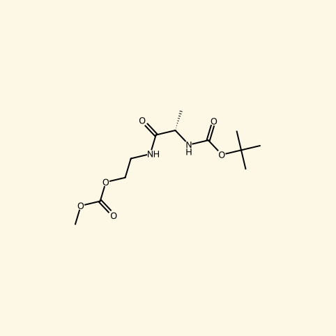 COC(=O)OCCNC(=O)[C@H](C)NC(=O)OC(C)(C)C